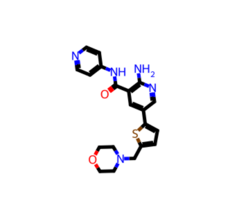 Nc1ncc(-c2ccc(CN3CCOCC3)s2)cc1C(=O)Nc1ccncc1